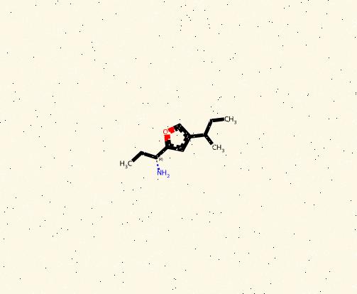 CCC(C)c1coc([C@H](N)CC)c1